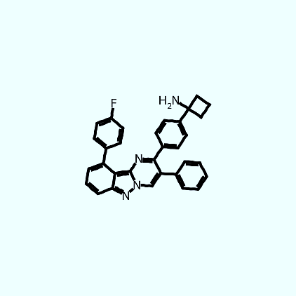 NC1(c2ccc(-c3nc4c5c(-c6ccc(F)cc6)cccc5nn4cc3-c3ccccc3)cc2)CCC1